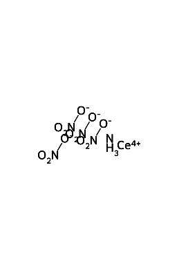 N.O=[N+]([O-])[O-].O=[N+]([O-])[O-].O=[N+]([O-])[O-].O=[N+]([O-])[O-].[Ce+4]